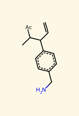 C=CC(c1ccc(CN)cc1)C(C)C(C)=O